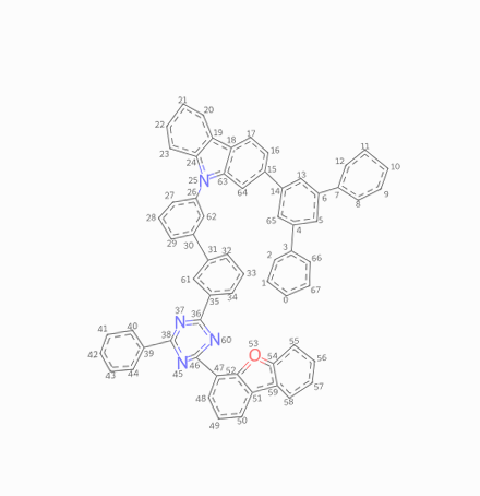 c1ccc(-c2cc(-c3ccccc3)cc(-c3ccc4c5ccccc5n(-c5cccc(-c6cccc(-c7nc(-c8ccccc8)nc(-c8cccc9c8oc8ccccc89)n7)c6)c5)c4c3)c2)cc1